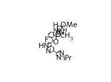 COCC1(N(C)S(=O)(=O)Nc2ccc(F)c(C(=O)c3c[nH]c4ncc(-c5cnc(C(C)C)nc5)cc34)c2F)CC1